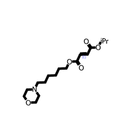 CC(C)OC(=O)/C=C/C(=O)OCCCCCCN1CCOCC1